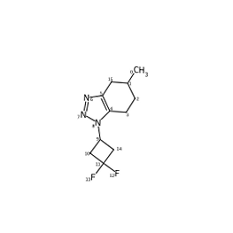 CC1CCc2c(nnn2C2CC(F)(F)C2)C1